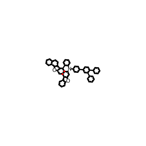 c1ccc(-c2ccc(-c3ccc(N(c4ccc5c(c4)oc4ccccc45)c4ccccc4-c4cccc5oc6c7ccccc7ccc6c45)cc3)cc2-c2ccccc2)cc1